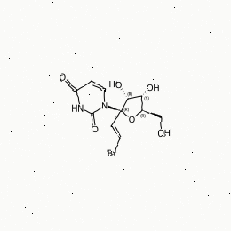 O=c1ccn([C@]2(C=CBr)O[C@H](CO)[C@@H](O)[C@H]2O)c(=O)[nH]1